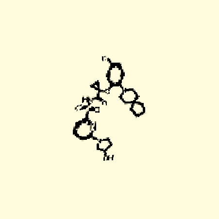 O=C(NS(=O)(=O)c1cccc(N2CCC(O)C2)n1)C1(Oc2cc(Cl)ccc2N2CCC3(CCCC3)CC2)CC1